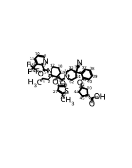 CCC[C@H]1N(C(=O)c2ncccc2C(F)(F)F)CCC[C@@]1(Oc1csc(C)c1)C(=O)N1CCC(C#N)(c2ccccc2O[C@@H]2CC[C@@H](C(=O)O)C2)CC1